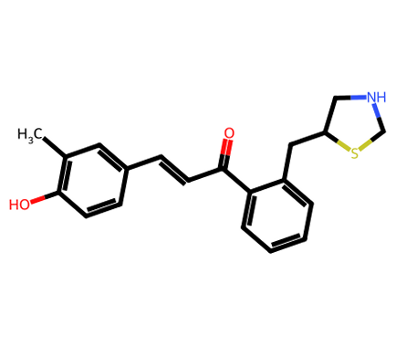 Cc1cc(C=CC(=O)c2ccccc2CC2CNCS2)ccc1O